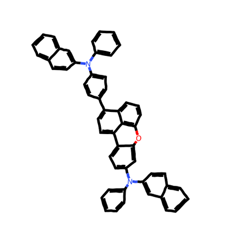 c1ccc(N(c2ccc(-c3ccc4c5c(cccc35)Oc3cc(N(c5ccccc5)c5ccc6ccccc6c5)ccc3-4)cc2)c2ccc3ccccc3c2)cc1